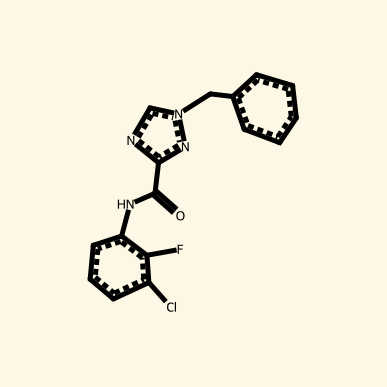 O=C(Nc1cccc(Cl)c1F)c1ncn(Cc2ccccc2)n1